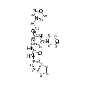 O=C(Nc1ccc2c(c1)CCC2)Nc1cc(N2CCOCC2)nc(OCCN2CCOCC2)n1